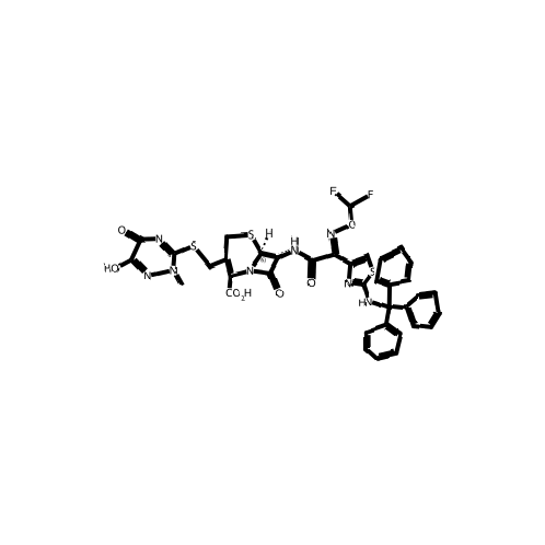 Cn1nc(O)c(=O)nc1SCC1=C(C(=O)O)N2C(=O)C(NC(=O)C(=NOC(F)F)c3csc(NC(c4ccccc4)(c4ccccc4)c4ccccc4)n3)[C@@H]2SC1